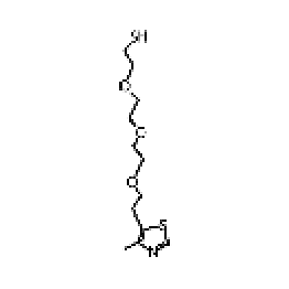 Cc1ncsc1CCOCCOCCOCCS